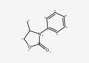 CC1COC(=O)N1c1ccccc1